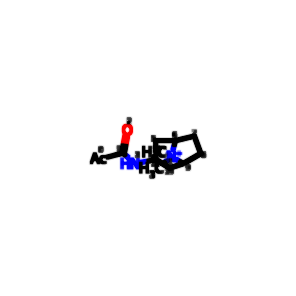 CC(=O)C(=O)NC1CC2CCC(C1)[N+]2(C)C